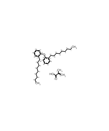 C=C(C)C(=O)O.CCCCCCCCCc1ccccc1Oc1ccccc1CCCCCCCCC